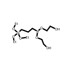 CCO[Si](CCCN(OCCO)OCCO)(OCC)OCC